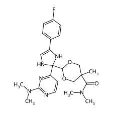 CN(C)C(=O)C1(C)COC(C2(c3ccnc(N(C)C)n3)NC=C(c3ccc(F)cc3)N2)OC1